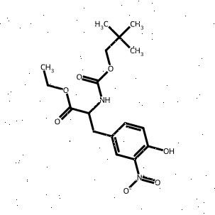 CCOC(=O)C(Cc1ccc(O)c([N+](=O)[O-])c1)NC(=O)OCC(C)(C)C